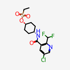 CCS(=O)(=O)O[C@H]1CC[C@H](NC(=O)c2cc(Cl)cnc2C(F)F)CC1